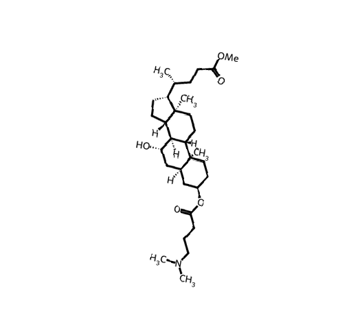 COC(=O)CC[C@@H](C)[C@H]1CC[C@H]2[C@@H]3[C@@H](O)C[C@@H]4C[C@H](OC(=O)CCCN(C)C)CC[C@]4(C)[C@H]3CC[C@]12C